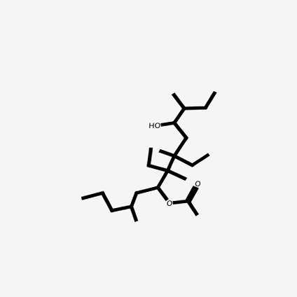 CCCC(C)CC(OC(C)=O)C(C)(CC)C(C)(CC)CC(O)C(C)CC